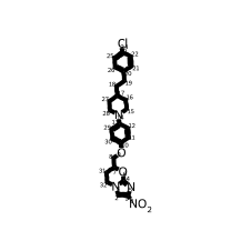 O=[N+]([O-])c1cn2c(n1)OC(COc1ccc(N3CCC(CCc4ccc(Cl)cc4)CC3)cc1)CC2